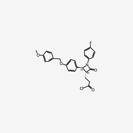 COc1ccc(COc2ccc([C@@H]3[C@@H](CCC(=O)Cl)C(=O)N3c3ccc(F)cc3)cc2)cc1